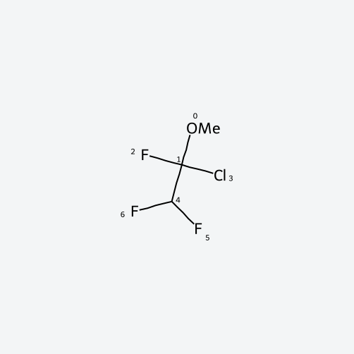 COC(F)(Cl)C(F)F